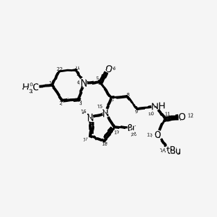 CC1CCN(C(=O)C(CCNC(=O)OC(C)(C)C)n2nccc2Br)CC1